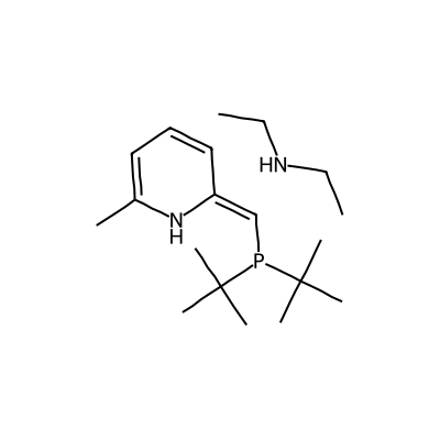 CC1=CC=CC(=CP(C(C)(C)C)C(C)(C)C)N1.CCNCC